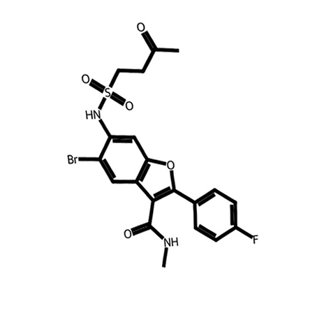 CNC(=O)c1c(-c2ccc(F)cc2)oc2cc(NS(=O)(=O)CCC(C)=O)c(Br)cc12